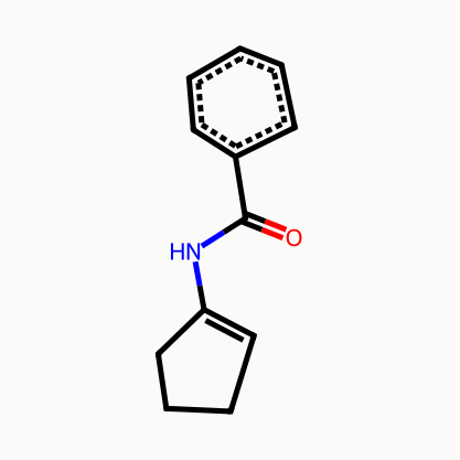 O=C(NC1=CCCC1)c1ccccc1